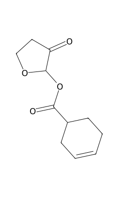 O=C(OC1OCCC1=O)C1CC=CCC1